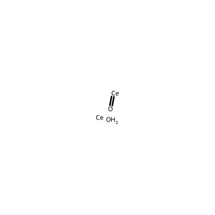 O.[Ce].[O]=[Ce]